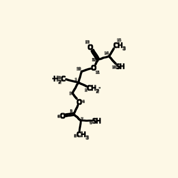 [CH2]C([CH2])(COC(=O)C(C)S)COC(=O)C(C)S